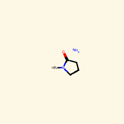 CCCCN1CCCC1=O.N